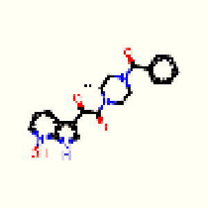 C[C@@H]1CN(C(=O)c2ccccc2)CCN1C(=O)C(=O)c1c[nH]c2c1ccc[n+]2O